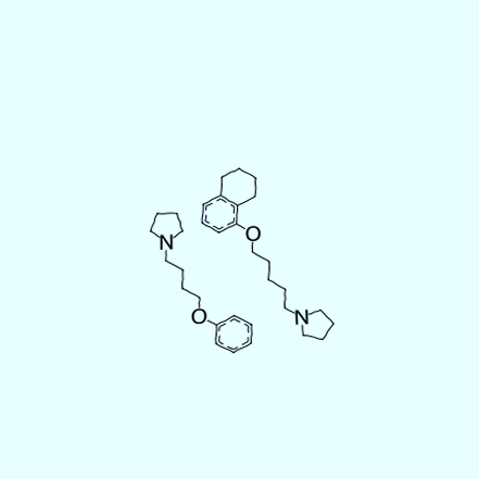 c1cc2c(c(OCCCCCN3CCCC3)c1)CCCC2.c1ccc(OCCCCN2CCCC2)cc1